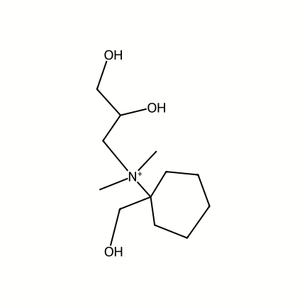 C[N+](C)(CC(O)CO)C1(CO)CCCCC1